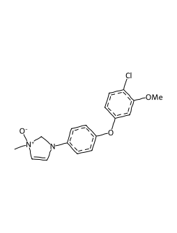 COc1cc(Oc2ccc(N3C=C[N+](C)([O-])C3)cc2)ccc1Cl